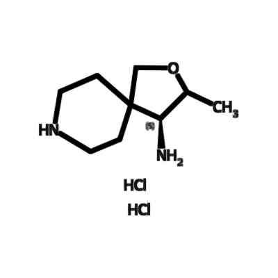 CC1OCC2(CCNCC2)[C@@H]1N.Cl.Cl